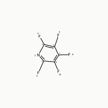 Fc1nc(F)c(F)c(F)c1F